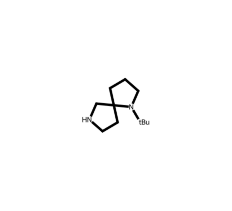 CC(C)(C)N1CCCC12CCNC2